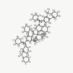 CC1(C)c2ccccc2-c2ccc(N(c3ccccc3)c3ccc4c5c(c6ccccc6c4c3)-c3cc(N(c4ccccc4)c4ccc6c(c4)C(C)(C)c4ccccc4-6)c4ccccc4c3C53c4ccccc4-c4ccccc43)cc21